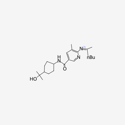 CCCC/C(C)=N\c1ncc(C(=O)NC2CCC(C(C)(C)O)CC2)cc1C